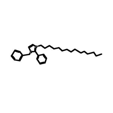 CCCCCCCCCCCCCCC[n+]1ccn(Cc2ccccc2)c1-c1ccccc1